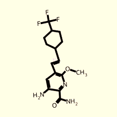 COc1nc(C(N)=O)c(N)cc1/C=C/C1CCC(C(F)(F)F)CC1